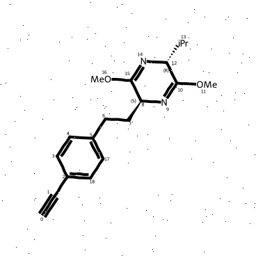 C#Cc1ccc(CC[C@@H]2N=C(OC)[C@@H](C(C)C)N=C2OC)cc1